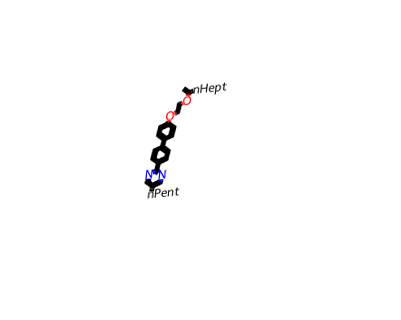 CCCCCCCC(C)OCCOc1ccc(-c2ccc(-c3ncc(CCCCC)cn3)cc2)cc1